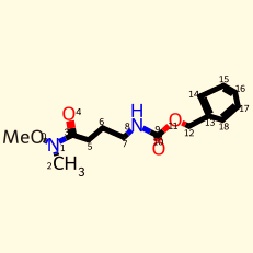 CON(C)C(=O)CCCNC(=O)OCc1ccccc1